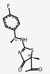 CC(=O)[C@@]1(C)SC(N[C@@H](C)c2ccc(F)cc2)=NC1=O